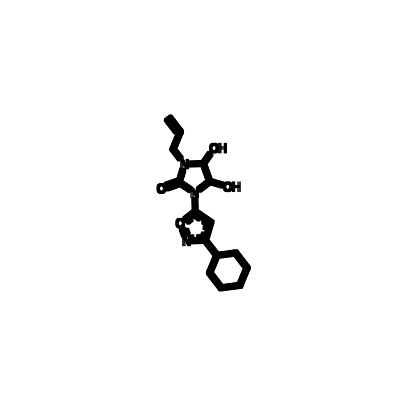 C=CCN1C(=O)N(c2cc(C3CCCCC3)no2)C(O)C1O